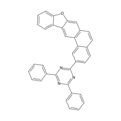 c1ccc(-c2nc(-c3ccccc3)nc(-c3ccc4ccc5cc6oc7ccccc7c6cc5c4c3)n2)cc1